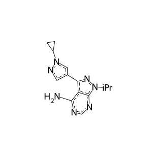 CC(C)n1nc(-c2cnn(C3CC3)c2)c2c(N)ncnc21